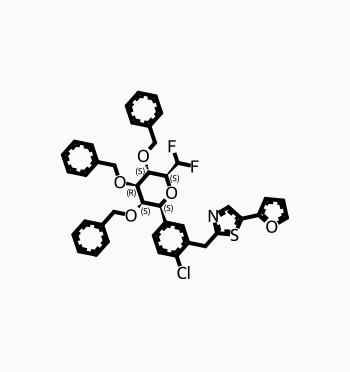 FC(F)[C@H]1O[C@@H](c2ccc(Cl)c(Cc3ncc(-c4ccco4)s3)c2)[C@H](OCc2ccccc2)[C@@H](OCc2ccccc2)[C@@H]1OCc1ccccc1